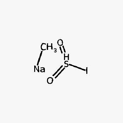 O=[SH](=O)I.[CH3][Na]